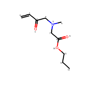 C=CC(=O)CN(C)CC(=O)OCCC